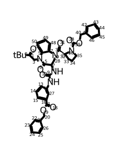 CC(C)(C)C(=O)CN1C(=O)C(NC(=O)Nc2cccc(C(=O)OCc3ccccc3)c2)CN(C(=O)[C@@H]2CCCN2C(=O)OCc2ccccc2)c2ccccc21